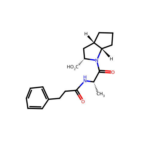 C[C@H](NC(=O)CCc1ccccc1)C(=O)N1[C@H](C(=O)O)C[C@@H]2CCC[C@@H]21